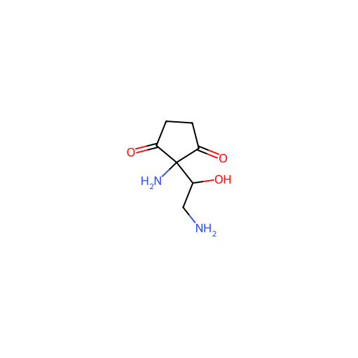 NCC(O)C1(N)C(=O)CCC1=O